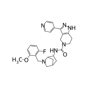 COc1cccc(F)c1CN1CC2CC(NC(=O)N3CCc4[nH]nc(-c5ccncc5)c4C3)C1C2